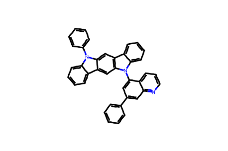 c1ccc(-c2cc(-n3c4ccccc4c4cc5c(cc43)c3ccccc3n5-c3ccccc3)c3cccnc3c2)cc1